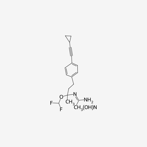 CN(O)/C(N)=N\C(C)(CCc1ccc(C#CC2CC2)cc1)OC(F)F